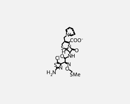 CSCON=C(C(=O)NC1C(=O)N2C(C(=O)[O-])=C(C[n+]3ccccc3)CS[C@@H]12)c1nc(N)sc1Cl